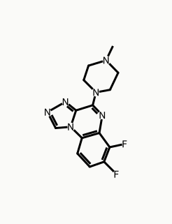 CN1CCN(c2nc3c(F)c(F)ccc3n3cnnc23)CC1